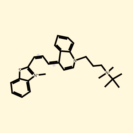 C[n+]1c(/C=C\C=C2\C=CN(CCC[N+](C)(C)C(C)(C)C)c3ccccc32)sc2ccccc21